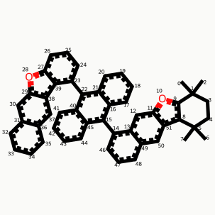 CC1(C)CCC(C)(C)c2c1oc1cc3c(-c4c5ccccc5c(-c5cccc6oc7cc8ccccc8cc7c56)c5ccccc45)cccc3cc21